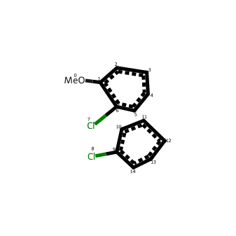 COc1ccccc1Cl.Clc1ccccc1